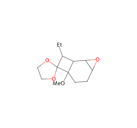 CCC1C2C3OC3CCC2(OC)C12OCCO2